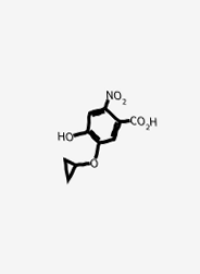 O=C(O)c1cc(OC2CC2)c(O)cc1[N+](=O)[O-]